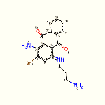 NCCCNc1cc(Br)c(N)c2c1C(=O)c1ccccc1C2=O